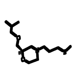 CSCCCN1CCO[C@@H](COCC(C)C)C1